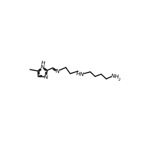 Cc1cnc(/C=N/CCCNCCCCN)[nH]1